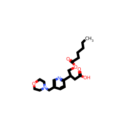 CCCCCC(=O)OCC(CC(=O)O)c1ccc(CN2CCOCC2)cn1